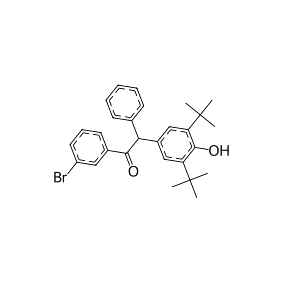 CC(C)(C)c1cc(C(C(=O)c2cccc(Br)c2)c2ccccc2)cc(C(C)(C)C)c1O